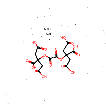 O=C(O)CC(CC(=O)O)(OC(=O)C(=O)OC(CC(=O)O)(CC(=O)O)C(=O)O)C(=O)O.[NaH].[NaH]